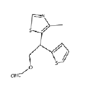 Cc1ncsc1C(COC=O)c1cccs1